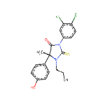 CC1(c2ccc(O)cc2)C(=O)N(c2ccc(Cl)c(Cl)c2)C(=S)N1CCC#N